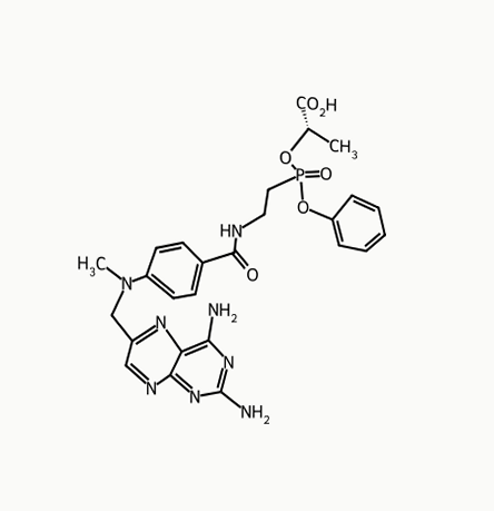 C[C@H](OP(=O)(CCNC(=O)c1ccc(N(C)Cc2cnc3nc(N)nc(N)c3n2)cc1)Oc1ccccc1)C(=O)O